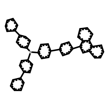 c1ccc(-c2ccc(N(c3ccc(-c4ccccc4)cc3)c3ccc(-c4ccc(-c5cc6ccccc6c6ccccc56)cc4)cc3)cc2)cc1